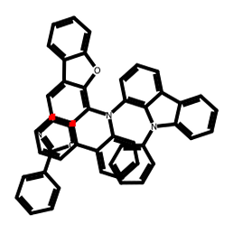 c1ccc(-c2nc3cc4c(oc5ccccc54)c(N(c4ccccc4-c4ccccc4)c4cccc5c6ccccc6n(-c6ccccc6)c45)c3o2)cc1